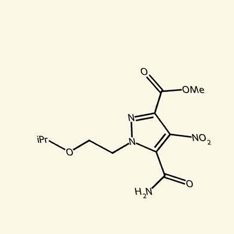 COC(=O)c1nn(CCOC(C)C)c(C(N)=O)c1[N+](=O)[O-]